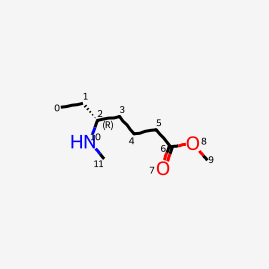 CC[C@H](CCCC(=O)OC)NC